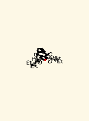 CCN(CC)CCC(=O)Nc1ccc(NC(=O)CCN(CC)CC)c2c1C(=O)c1ccccc1C2=O